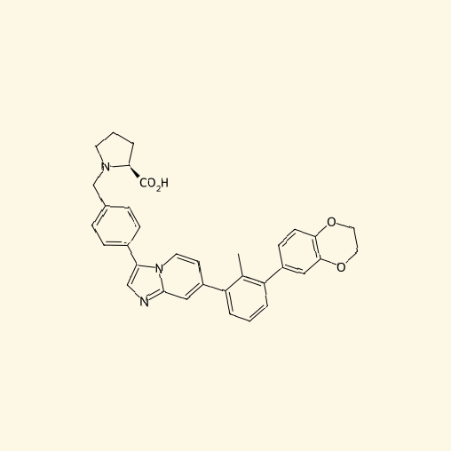 Cc1c(-c2ccc3c(c2)OCCO3)cccc1-c1ccn2c(-c3ccc(CN4CCC[C@H]4C(=O)O)cc3)cnc2c1